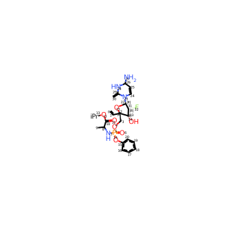 C=C[C@]1(COP(=O)(NC(C)C(=O)OC(C)C)Oc2ccccc2)O[C@@H](N2C=CC(N)NC2=C)[C@H](F)[C@@H]1O